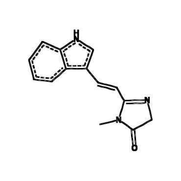 CN1C(=O)CN=C1C=Cc1c[nH]c2ccccc12